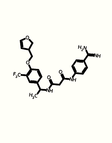 CC(NC(=O)CC(=O)Nc1ccc(C(=N)N)cc1)c1ccc(OCC2C=COC2)c(C(F)(F)F)c1